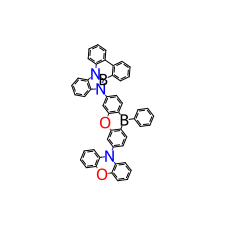 c1ccc(B2c3ccc(N4B5c6ccccc6-c6ccccc6N5c5ccccc54)cc3Oc3cc(N4c5ccccc5Oc5ccccc54)ccc32)cc1